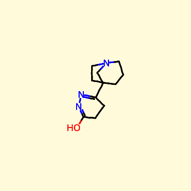 OC1=NN=C(C23CCCN(CC2)C3)CC1